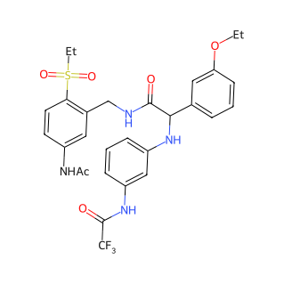 CCOc1cccc(C(Nc2cccc(NC(=O)C(F)(F)F)c2)C(=O)NCc2cc(NC(C)=O)ccc2S(=O)(=O)CC)c1